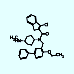 CCOc1ccc(-c2ccccc2)cc1CN(C(=O)C1=C(Cl)c2ccccc2C1)[C@H]1CC[C@@H](NC)CC1